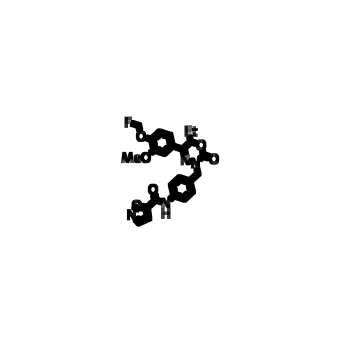 CCC1OC(=O)N(Cc2ccc(NC(=O)c3ccno3)cc2)N=C1c1ccc(OCF)c(OC)c1